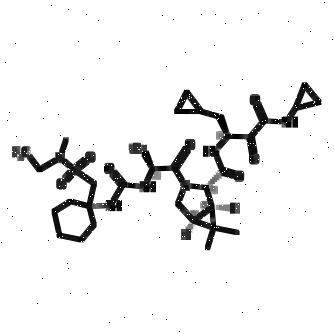 CN(CC(F)(F)F)S(=O)(=O)CC1(NC(=O)N[C@H](C(=O)N2C[C@H]3[C@@H]([C@H]2C(=O)N[C@@H](CC2CC2)C(=O)C(=O)NC2CC2)C3(C)C)C(C)(C)C)CCCCC1